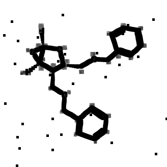 c1ccc(COC[C@H]2[C@H]3O[C@H]3O[C@@H]2COCc2ccccc2)cc1